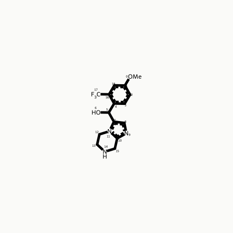 COc1ccc(C(O)c2cnc3n2CCNC3)c(C(F)(F)F)c1